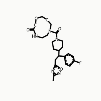 Cc1noc(CC(c2ccc(F)cc2)C2CCN(C(=O)N3CCCOCC(=O)NCC3)CC2)n1